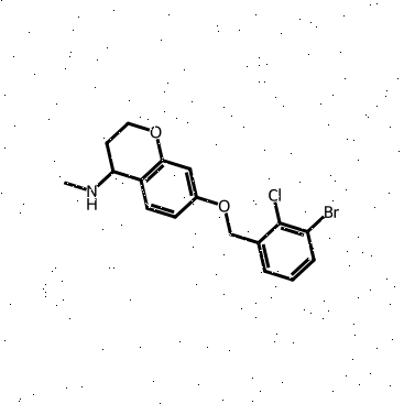 CNC1CCOc2cc(OCc3cccc(Br)c3Cl)ccc21